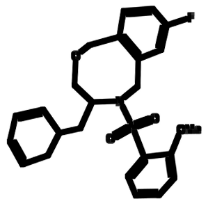 COc1ccccc1S(=O)(=O)N1Cc2cc(F)ccc2COCC1CC1C=CC=CC1